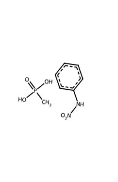 CP(=O)(O)O.O=[N+]([O-])Nc1ccccc1